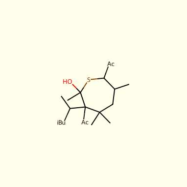 CCC(C)C(C)C1(C(C)=O)C(C)(C)CC(C)C(C(C)=O)SC1(C)O